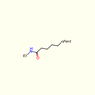 C[CH]NC(=O)CCCCCCCCC